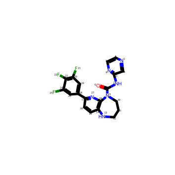 O=C(Nc1cnccn1)N1CCCNc2ccc(-c3cc(F)c(F)c(F)c3)nc21